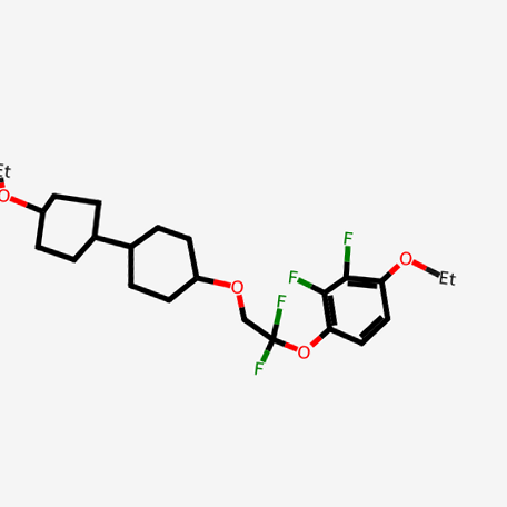 CCOc1ccc(OC(F)(F)COC2CCC(C3CCC(OCC)CC3)CC2)c(F)c1F